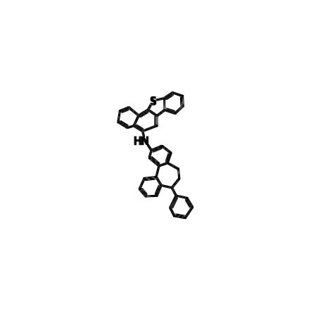 c1ccc(C2CCc3ccc(Nc4cc5c6ccccc6sc5c5ccccc45)cc3-c3ccccc32)cc1